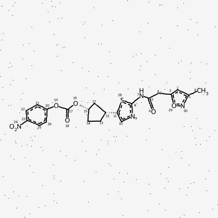 Cc1cc(CC(=O)Nc2ncc([C@@H]3CC[C@H](OC(=O)Oc4ccc([N+](=O)[O-])cc4)C3)s2)on1